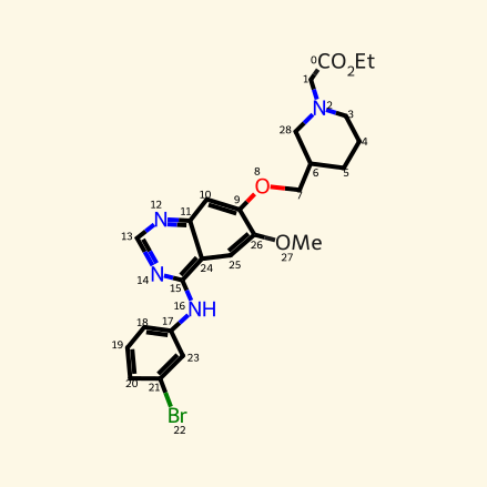 CCOC(=O)CN1CCCC(COc2cc3ncnc(Nc4cccc(Br)c4)c3cc2OC)C1